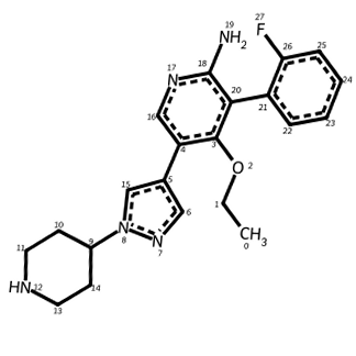 CCOc1c(-c2cnn(C3CCNCC3)c2)cnc(N)c1-c1ccccc1F